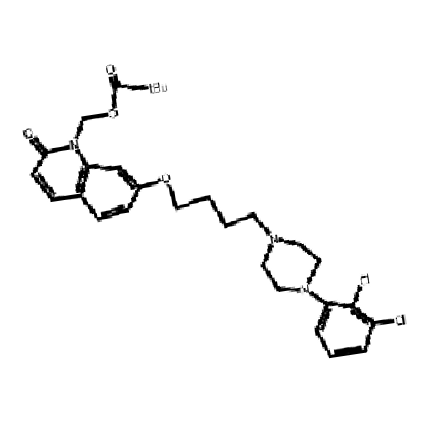 CC(C)(C)C(=O)OCn1c(=O)ccc2ccc(OCCCCN3CCN(c4cccc(Cl)c4Cl)CC3)cc21